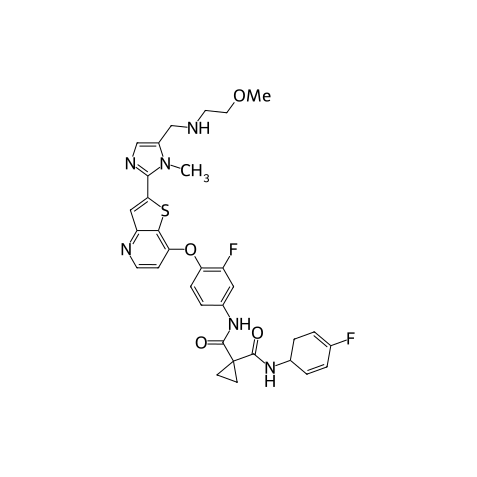 COCCNCc1cnc(-c2cc3nccc(Oc4ccc(NC(=O)C5(C(=O)NC6C=CC(F)=CC6)CC5)cc4F)c3s2)n1C